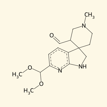 COC(OC)c1ccc2c(n1)NCC21CCN(C)CC1C=O